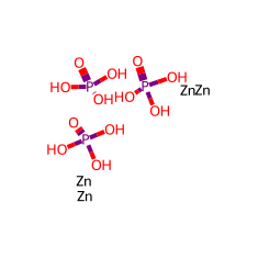 O=P(O)(O)O.O=P(O)(O)O.O=P(O)(O)O.[Zn].[Zn].[Zn].[Zn]